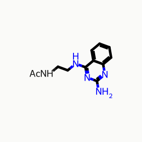 CC(=O)NCCNc1nc(N)nc2ccccc12